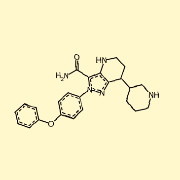 NC(=O)c1c2c(nn1-c1ccc(Oc3ccccc3)cc1)C(C1CCCNC1)CCN2